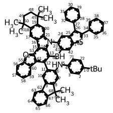 CC(C)(C)c1ccc(Nc2cc3c(cc2-c2c4c5c(c6cc7c(cc6n5-c5cc6c(-c8ccccc8)c(-c8ccccc8)sc6cc5B4)C(C)(C)CCC7(C)C)c4oc5ccccc5c24)-c2ccccc2C3(C)C)cc1